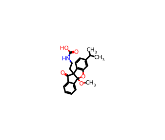 COC12Oc3cc(C(C)C)ccc3C1(CCNC(=O)O)C(=O)c1ccccc12